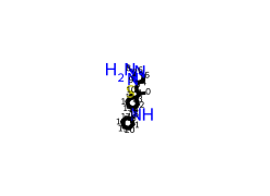 Cc1c(-c2ccnc(N)n2)sc2ccc(Nc3ccccc3)cc12